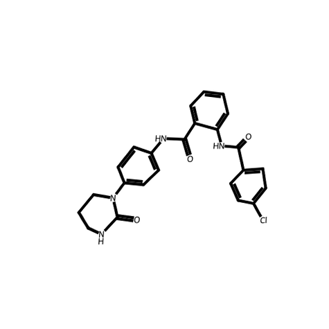 O=C(Nc1ccccc1C(=O)Nc1ccc(N2CCCNC2=O)cc1)c1ccc(Cl)cc1